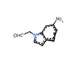 O=CCn1ccc2ccc([N+](=O)[O-])cc21